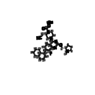 CN1CCC[C@H]1COc1nc(N2CCN(C(=O)OC(C)(C)C)[C@@H](CC#N)C2)c2ccc(-c3cccc4c3CCCC4)c(F)c2n1